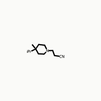 CC(C)C1(C)CCN(CCC#N)CC1